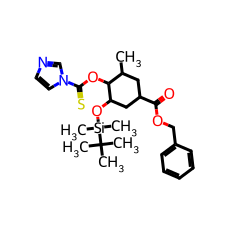 CC1CC(C(=O)OCc2ccccc2)CC(O[Si](C)(C)C(C)(C)C)C1OC(=S)n1ccnc1